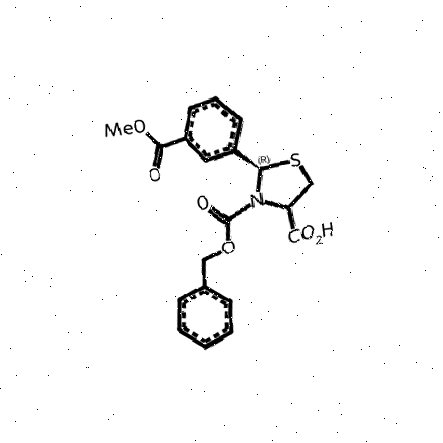 COC(=O)c1cccc([C@H]2SCC(C(=O)O)N2C(=O)OCc2ccccc2)c1